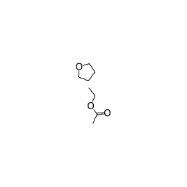 C1CCOC1.CCOC(C)=O